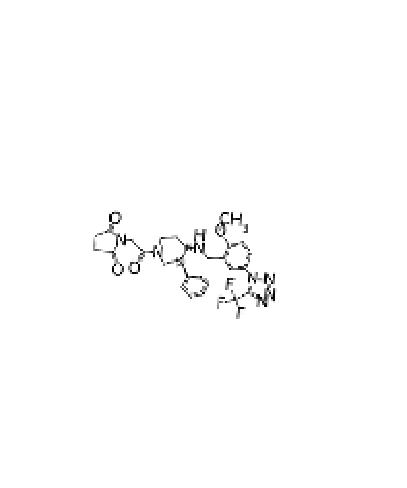 COc1ccc(-n2nnnc2C(F)(F)F)cc1CN[C@@H]1CCN(C(=O)CN2C(=O)CCC2=O)C[C@@H]1c1ccccc1